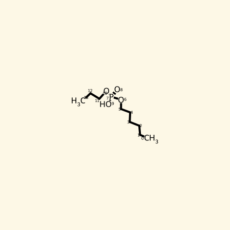 CCCCCCOP(=O)(O)OCCC